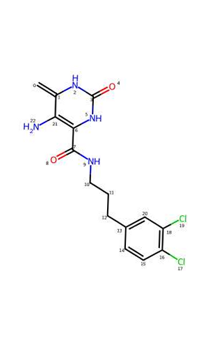 C=C1NC(=O)NC(C(=O)NCCCc2ccc(Cl)c(Cl)c2)=C1N